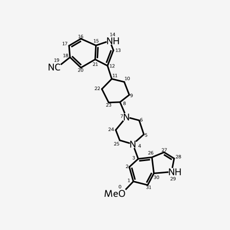 COc1cc(N2CCN(C3CCC(c4c[nH]c5ccc(C#N)cc45)CC3)CC2)c2cc[nH]c2c1